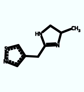 CC1CNC(Cc2cnsc2)=N1